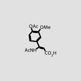 COc1cc(C(=CC(=O)O)NC(C)=O)ccc1OC(C)=O